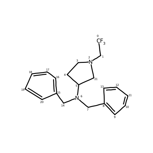 FC(F)(F)CN1CCC(N(Cc2ccccc2)Cc2ccccc2)C1